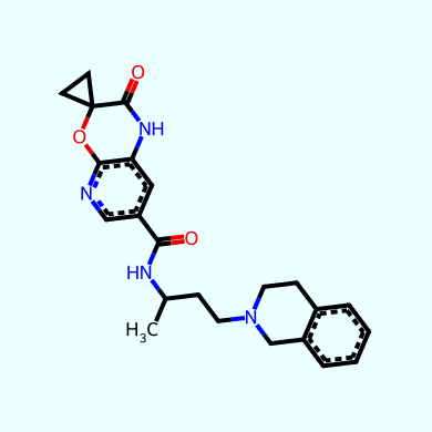 CC(CCN1CCc2ccccc2C1)NC(=O)c1cnc2c(c1)NC(=O)C1(CC1)O2